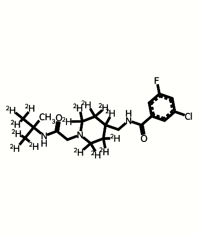 [2H]C([2H])([2H])C(C)(NC(=O)CN1C([2H])([2H])C([2H])([2H])C([2H])(CNC(=O)c2cc(F)cc(Cl)c2)C([2H])([2H])C1([2H])[2H])C([2H])([2H])[2H]